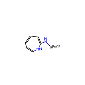 [CH2]CCCCNC1=CC=CC=CN1